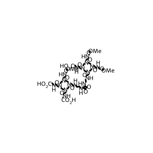 COOCNC(=O)CN1CCN(CC(=O)NCCNc2c(NCCNC(=O)CN3CCN(CC(=O)NCOOC)CCN(CC(=O)NCC(=O)O)CCN(CC(=O)NCC(=O)O)CC3)c(=O)c2=O)CCN(CC(=O)NCC(=O)O)CCN(CC(=O)NCOOC)CC1